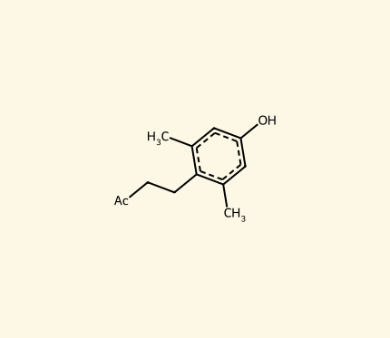 CC(=O)CCc1c(C)cc(O)cc1C